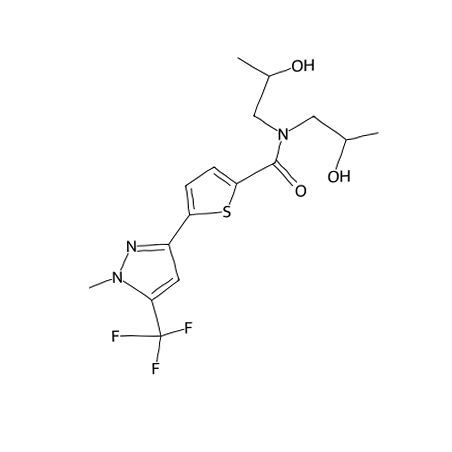 CC(O)CN(CC(C)O)C(=O)c1ccc(-c2cc(C(F)(F)F)n(C)n2)s1